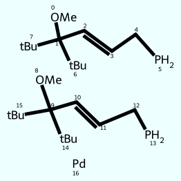 COC(C=CCP)(C(C)(C)C)C(C)(C)C.COC(C=CCP)(C(C)(C)C)C(C)(C)C.[Pd]